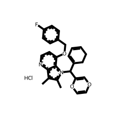 Cc1c(C)n(C(C2=CC=CCC2)C2=COC=CO2)c2c(OCc3ccc(F)cc3)ccnc12.Cl